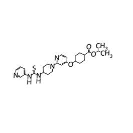 CC(C)OC(=O)C1CCC(Oc2ccnc(N3CCC(NC(=S)Nc4cccnc4)CC3)c2)CC1